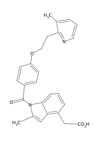 Cc1cccnc1CCOc1ccc(C(=O)n2c(C)cc3c(CC(=O)O)cccc32)cc1